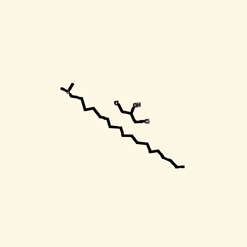 CCCCCCCCCCCCCCCCCCN(C)C.OC(CCl)CCl